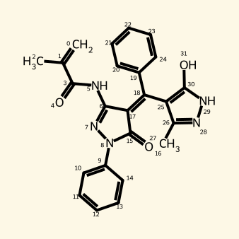 C=C(C)C(=O)NC1=NN(c2ccccc2)C(=O)C1=C(c1ccccc1)c1c(C)n[nH]c1O